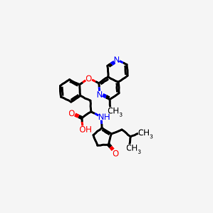 Cc1cc2ccncc2c(Oc2ccccc2CC(NC2=C(CC(C)C)C(=O)CC2)C(=O)O)n1